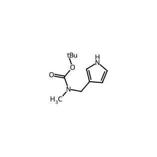 CN(Cc1cc[nH]c1)C(=O)OC(C)(C)C